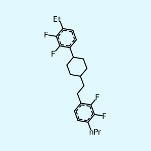 CCCc1ccc(CCC2CCC(c3ccc(CC)c(F)c3F)CC2)c(F)c1F